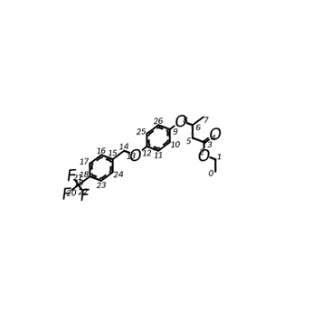 CCOC(=O)CC(C)Oc1ccc(OCc2ccc(C(F)(F)F)cc2)cc1